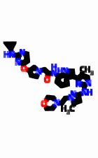 Cc1cnc(Nc2cc(C)n(CCN3CCOCC3)n2)nc1-c1c[nH]c2c(NC(=O)CN3CCC(Oc4ccnc(NC5CC5)n4)C3)cccc12